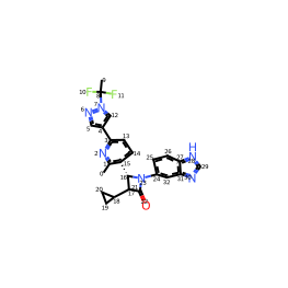 Cc1nc(-c2cnn(C(C)(F)F)c2)ccc1[C@H]1C(C2CC2)C(=O)N1c1ccc2[nH]cnc2c1